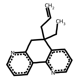 C=CCC1(CC)Cc2ncccc2-c2ncccc21